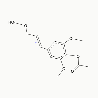 COc1cc(/C=C/COO)cc(OC)c1OC(C)=O